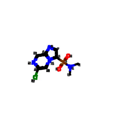 CN(C)S(=O)(=O)c1cnc2cnc(Cl)cn12